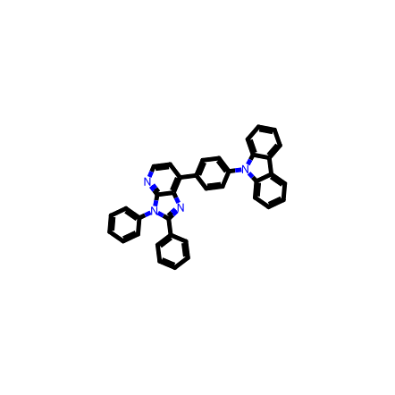 c1ccc(-c2nc3c(-c4ccc(-n5c6ccccc6c6ccccc65)cc4)ccnc3n2-c2ccccc2)cc1